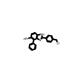 CCCc1ccc2[nH]c(-c3ccc(CCl)cc3)nc2c1-c1ccccc1